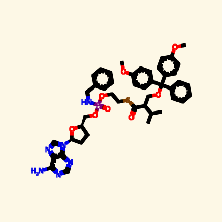 COc1ccc(C(OCC(C(=O)SCCOP(=O)(NCc2ccccc2)OC[C@H]2CC[C@@H](n3cnc4c(N)ncnc43)O2)C(C)C)(c2ccccc2)c2ccc(OC)cc2)cc1